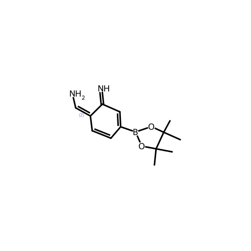 CC1(C)OB(C2=CC(=N)/C(=C\N)C=C2)OC1(C)C